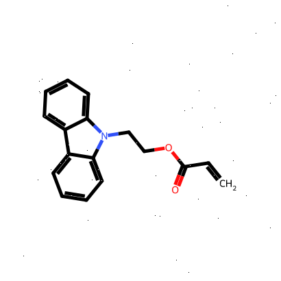 C=CC(=O)OCCn1c2ccccc2c2ccccc21